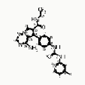 Cc1ccnc(NC(=O)Nc2ccc(-c3c(C(=O)NCC(F)(F)F)cn4ncnc(N)c34)cc2)c1